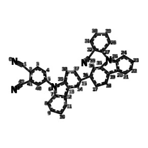 N#Cc1ccc(-n2c3ccccc3c3cc(-c4ccc5c6ccccc6n(-c6ccccc6C#N)c5c4)ccc32)cc1C#N